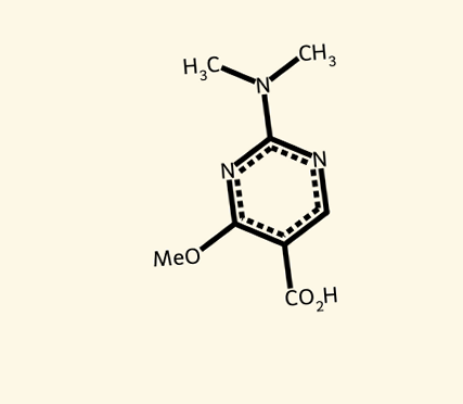 COc1nc(N(C)C)ncc1C(=O)O